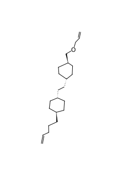 C=CCCC[C@H]1CC[C@H](CC[C@H]2CC[C@H](COCC=C)CC2)CC1